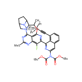 CSc1nc2c3c(nc(-c4nc(N(C(=O)OC(C)(C)C)C(=O)OC(C)(C)C)cc5cccc(C#C[Si](C(C)C)(C(C)C)C(C)C)c45)c(F)c3n1)OC(C)C1C3CCC(CN21)N3C(=O)O